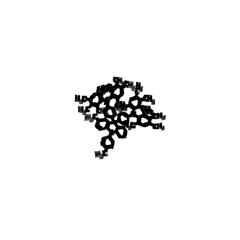 Cc1ccc(N2c3ccccc3C(c3ccc(N(c4c(C)cc(C)c(C)c4C)c4c(C)cc(C)c(C)c4C)cc3)(c3ccc(N(c4c(C)cc(C)c(C)c4C)c4c(C)cc(C)c(C)c4C)cc3)c3cc(C)ccc32)cc1